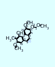 COCOc1cc(/C=C\c2cc(C)c(C)c(OC)c2)ccc1OC